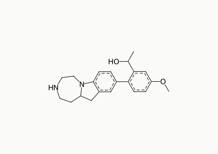 COc1ccc(-c2ccc3c(c2)CC2CCNCCN32)c(C(C)O)c1